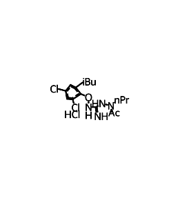 CCCN(NC(=N)NOc1c(Cl)cc(Cl)cc1C(C)CC)C(C)=O.Cl